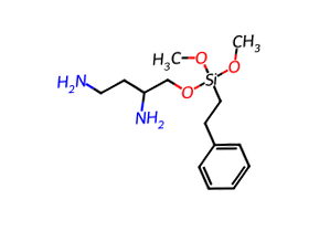 CO[Si](CCc1ccccc1)(OC)OCC(N)CCN